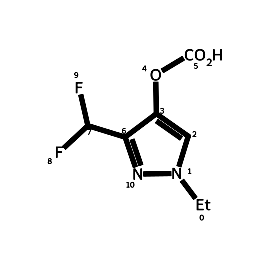 CCn1cc(OC(=O)O)c(C(F)F)n1